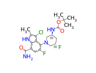 Cc1[nH]c2c(C(N)=O)cc(F)c(N3C[C@@H](F)C[C@H](NC(=O)OC(C)(C)C)C3)c2c1Cl